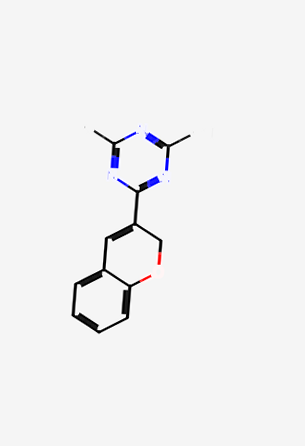 ClC(Cl)(Cl)c1nc(C2=Cc3ccccc3OC2)nc(C(Cl)(Cl)Cl)n1